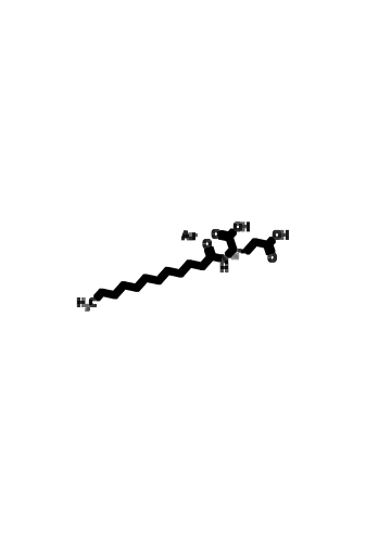 CCCCCCCCCCCC(=O)N[C@@H](CCC(=O)O)C(=O)O.[Au]